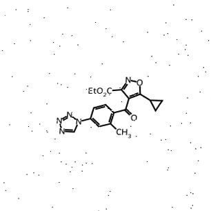 CCOC(=O)c1noc(C2CC2)c1C(=O)c1ccc(-n2cnnn2)cc1C